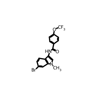 Cn1cc(NC(=O)c2ccc(OC(F)(F)F)cc2)c2ccc(Br)cc21